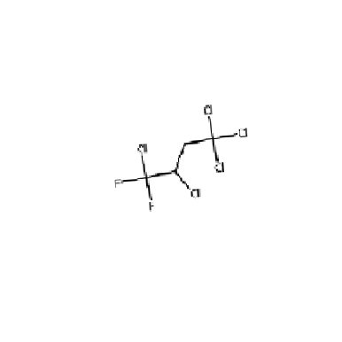 FC(F)(Cl)C(Cl)CC(Cl)(Cl)Cl